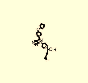 OC(C#CC1CC1)N1CCC(n2nc(-c3ccc(Oc4ccccc4)cc3)c3cncnc32)CC1